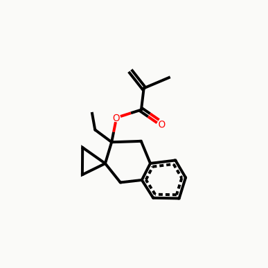 C=C(C)C(=O)OC1(CC)Cc2ccccc2CC12CC2